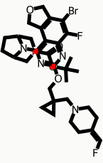 CC(C)(C)OC(=O)N1CC2CCC(C1)N2c1nc(OCC2(CN3CCC(=CF)CC3)CC2)nc2c(F)c(Br)c3c(c12)COC3